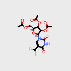 CC(=O)OC[C@@H]1O[C@H](n2cc(C(F)F)c(=O)[nH]c2=O)C(OC(C)=O)C1OC(C)=O